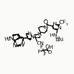 CC(C)(C)NCc1cc(C(=O)N2CCC(N3CC(CC#N)(n4cc(-c5ncnc6[nH]ccc56)cn4)C3)CC2)nc(C(F)(F)F)n1.O=C(O)C(F)(F)F